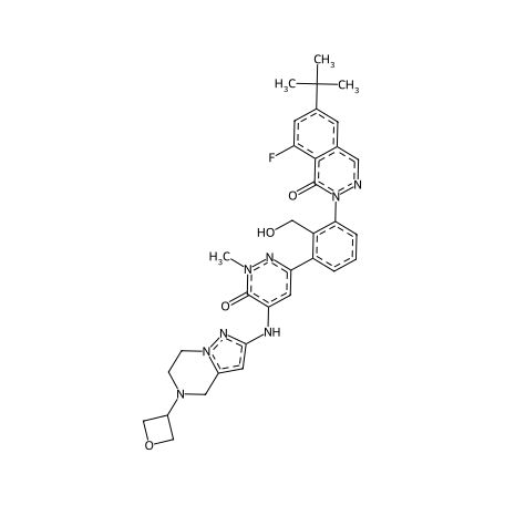 Cn1nc(-c2cccc(-n3ncc4cc(C(C)(C)C)cc(F)c4c3=O)c2CO)cc(Nc2cc3n(n2)CCN(C2COC2)C3)c1=O